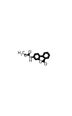 COC(=O)Nc1ccc2c(c1)oc(=O)c1ccccc12